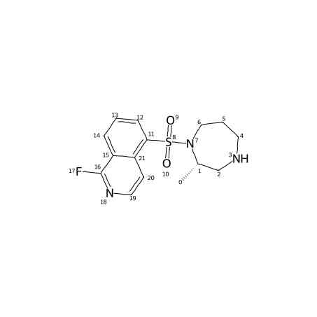 C[C@H]1CNCCCN1S(=O)(=O)c1cccc2c(F)nccc12